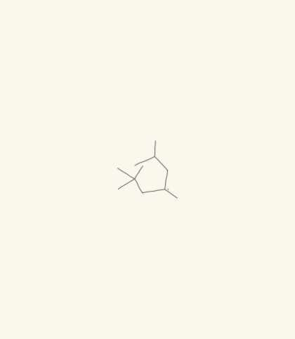 C[C](CC(C)C)CC(C)(C)C